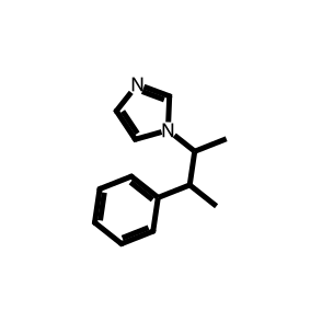 CC(c1ccccc1)C(C)n1ccnc1